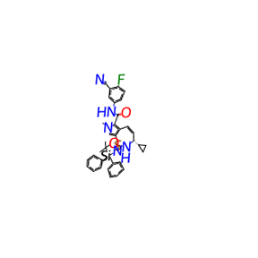 Cn1cc2c(c1C(=O)Nc1ccc(F)c(C#N)c1)C=C[C@H](C1CC1)NS2(=O)=N[Si](c1ccccc1)(c1ccccc1)C(C)(C)C